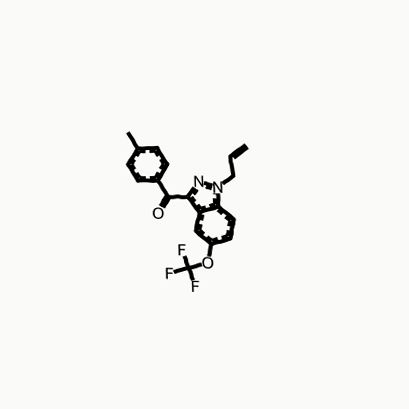 C=CCn1nc(C(=O)c2ccc(C)cc2)c2cc(OC(F)(F)F)ccc21